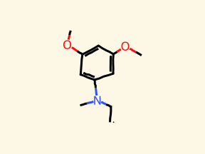 [CH2]CN(C)c1cc(OC)cc(OC)c1